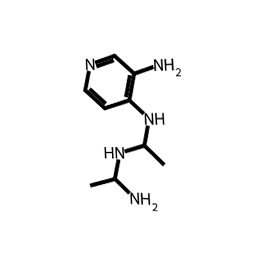 CC(N)NC(C)Nc1ccncc1N